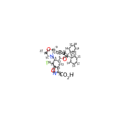 C[C@@H]1CN(c2c(CO[Si](c3ccccc3)(c3ccccc3)C(C)(C)C)cc3c(C(=O)O)noc3c2F)C[C@H](C)O1